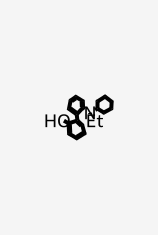 CCN(c1ccccc1-c1ccccc1O)C1CCCCC1